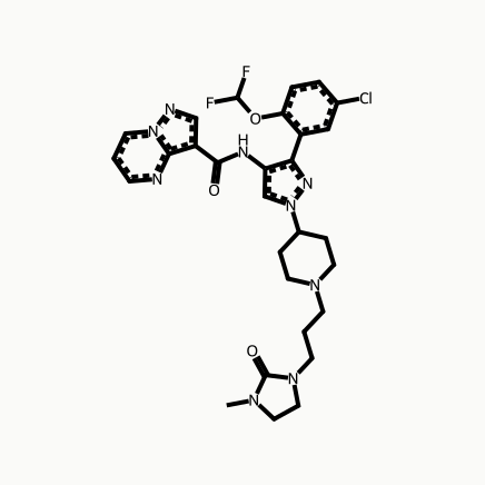 CN1CCN(CCCN2CCC(n3cc(NC(=O)c4cnn5cccnc45)c(-c4cc(Cl)ccc4OC(F)F)n3)CC2)C1=O